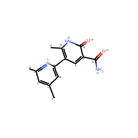 Cc1cc(C)nc(-c2cc(C(N)=O)c(=O)[nH]c2C)c1